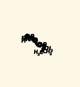 CC(C)CN(C)C(=O)C1CCN(Cc2cccc(NC(=O)c3cccc(C(F)(F)F)n3)c2)CC1